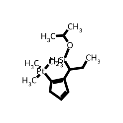 CCC([SiH2]OC(C)C)C1=[C]([Pt]([CH3])([CH3])[CH3])CC=C1